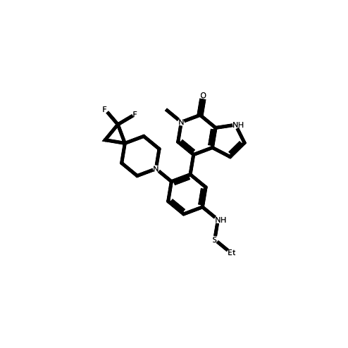 CCSNc1ccc(N2CCC3(CC2)CC3(F)F)c(-c2cn(C)c(=O)c3[nH]ccc23)c1